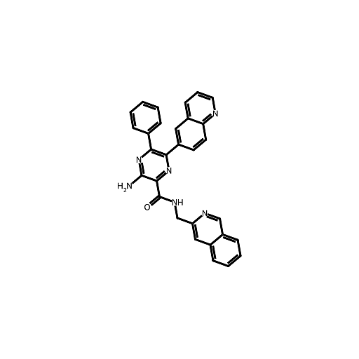 Nc1nc(-c2ccccc2)c(-c2ccc3ncccc3c2)nc1C(=O)NCc1cc2ccccc2cn1